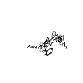 CC(=O)N[C@H](C)[C@@H](O)[C@H](O)[C@H](Cc1ccccc1)NC(=O)c1coc(NS(C)(=O)=O)n1